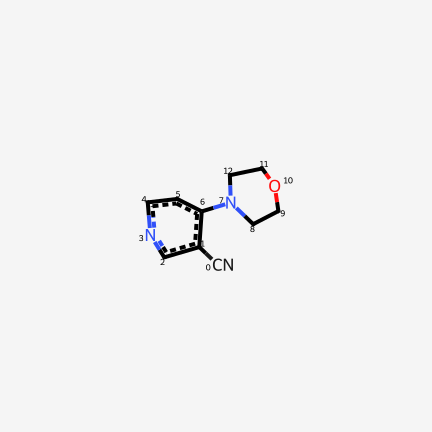 N#Cc1cnccc1N1CCOCC1